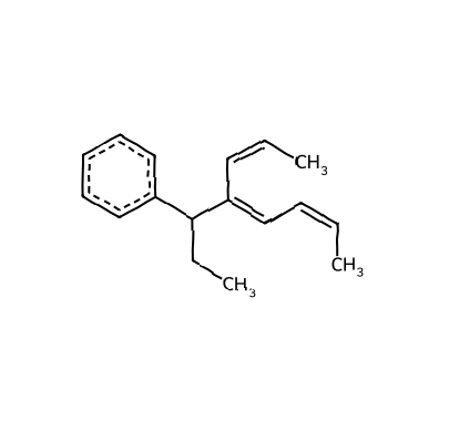 C\C=C/C=C(\C=C/C)C(CC)c1ccccc1